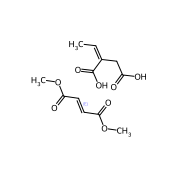 CC=C(CC(=O)O)C(=O)O.COC(=O)/C=C/C(=O)OC